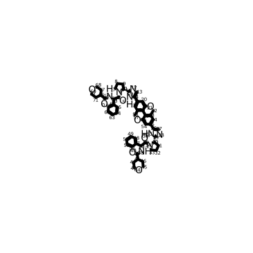 O=C(N[C@@H](C(=O)N1CCC[C@H]1c1ncc(-c2cc3c4c(c2)OCc2cc(-c5cnc([C@@H]6CCCN6C(=O)[C@H](NC(=O)C6CCOCC6)c6ccccc6)[nH]5)cc(c2-4)OC3)[nH]1)c1ccccc1)C1CCOCC1